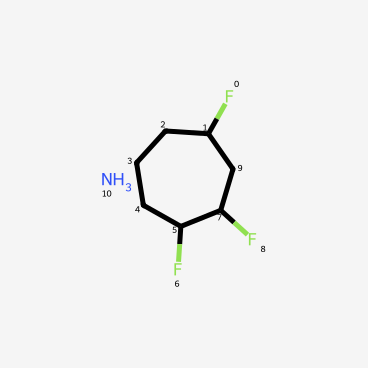 FC1CCCC(F)C(F)C1.N